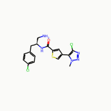 Cn1nnc(Cl)c1-c1csc(C(=O)N[C@H](CN)Cc2ccc(Cl)cc2)c1